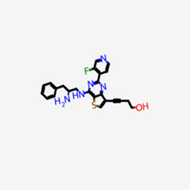 N[C@H](CNc1nc(-c2ccncc2F)nc2c(C#CCCO)csc12)Cc1ccccc1